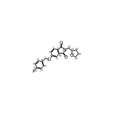 O=C1c2ccc(OCc3ccc(F)cc3)cc2C(=O)N1CC1CCCO1